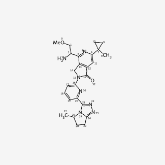 COCC(N)c1nc(C2(C)CC2)cc2c1CN(c1cccc(-c3nnc4n3C(C)CC4)n1)C2=O